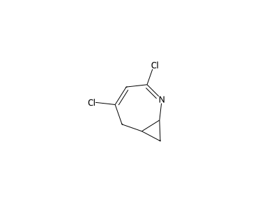 ClC1=CC(Cl)=NC2CC2C1